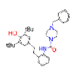 CC(C)(C)c1cc(CCc2ccccc2NC(=O)N2CCN(Cc3ccccc3)CC2)cc(C(C)(C)C)c1O